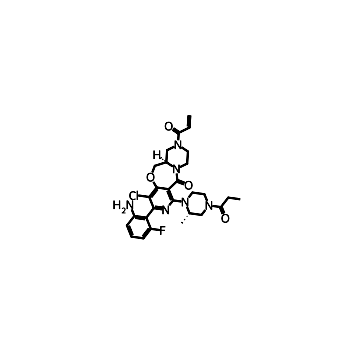 C=CC(=O)N1CCN2C(=O)c3c(N4CCN(C(=O)CC)C[C@@H]4C)nc(-c4c(N)cccc4F)c(Cl)c3OC[C@H]2C1